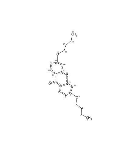 CCCCOc1ccc2c(=O)c3ccc(OCCCC)cc3oc2c1